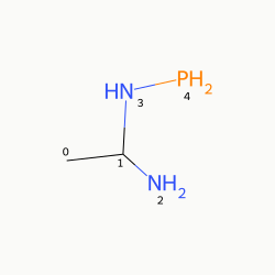 CC(N)NP